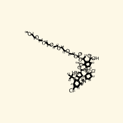 COCCOCCOCCOCCOCCOCCOC(=O)OC(C)c1c(C(=O)O)ccc(NC(=O)[C@@H]2N[C@@H](CC(C)(C)C)[C@](C#N)(c3ccc(Cl)cc3F)[C@H]2c2cccc(Cl)c2F)c1OC